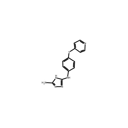 Nc1nnc(Nc2ccc(Sc3ccncc3)cc2)[nH]1